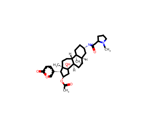 CC(=O)O[C@H]1C[C@]2(O)[C@@H]3CC[C@@H]4C[C@@H](NC(=O)C5CCCN5C)CC[C@]4(C)[C@H]3CC[C@]2(C)[C@H]1c1ccc(=O)oc1